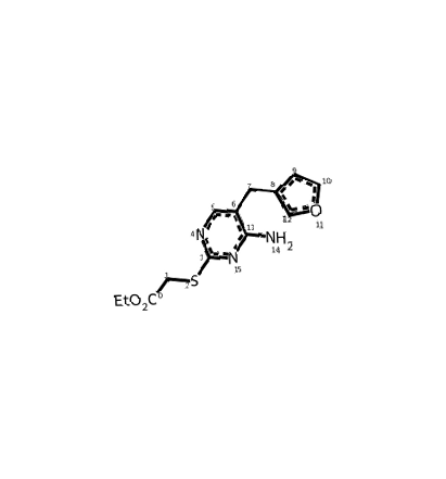 CCOC(=O)CSc1ncc(Cc2ccoc2)c(N)n1